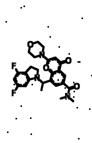 CC(c1cc(C(=O)N(C)C)cc2c(=O)cc(N3CCOCC3)oc12)N1CCc2c(F)cc(F)cc21